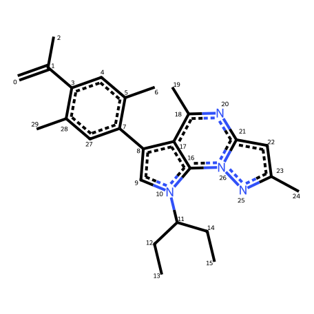 C=C(C)c1cc(C)c(-c2cn(C(CC)CC)c3c2c(C)nc2cc(C)nn23)cc1C